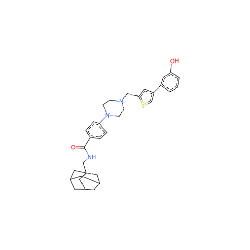 O=C(NCC12CC3CC(CC(C3)C1)C2)c1ccc(N2CCN(Cc3cc(-c4cccc(O)c4)cs3)CC2)cc1